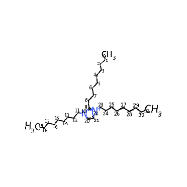 CCCCCCCCCc1n(CCCCCCCCC)cc[n+]1CCCCCCCCC